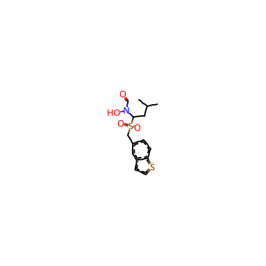 CC(C)CC(N(O)C=O)S(=O)(=O)Cc1ccc2sccc2c1